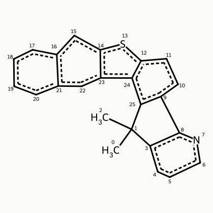 CC1(C)c2cccnc2-c2ccc3sc4cc5ccccc5cc4c3c21